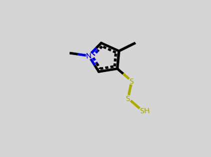 Cc1cn(C)cc1SSS